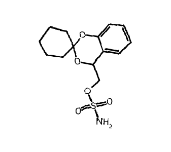 NS(=O)(=O)OCC1OC2(CCCCC2)Oc2ccccc21